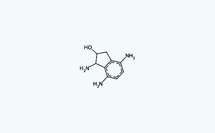 Nc1ccc(N)c2c1CC(O)C2N